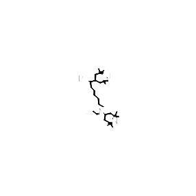 CCC(C)C(CCCCCCN(CCC=O)C1CC(C)(C)NC(C)(C)C1)C1CC(C)(C)NC(C)(C)C1